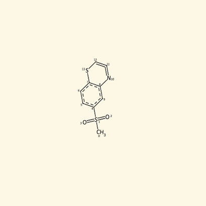 CS(=O)(=O)c1ccc2c(c1)N=C=CS2